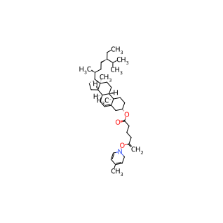 C=C(CCCC(=O)O[C@H]1CC[C@@]2(C)C(=CC[C@H]3[C@@H]4CC[C@H]([C@@H](C)CC[C@@H](CC)C(C)C)[C@@]4(C)CC[C@@H]32)C1)ON1C=CC(C)=CC1